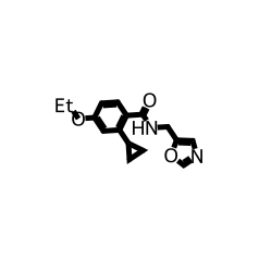 CCOc1ccc(C(=O)NCc2cnco2)c(C2CC2)c1